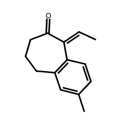 C/C=C1/C(=O)CCCc2cc(C)ccc21